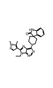 CCn1c(-c2cnn(C)c2C)nc2c(N3CCC4(CC3)C(=O)Nc3ccccc34)ncnc21